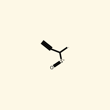 C#CC([CH2])[S+]=O